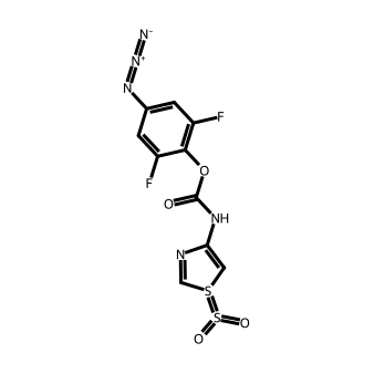 [N-]=[N+]=Nc1cc(F)c(OC(=O)NC2=CS(=S(=O)=O)C=N2)c(F)c1